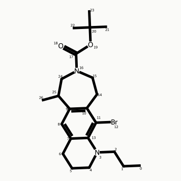 CCCN1CCCc2cc3c(c(Br)c21)CCN(C(=O)OC(C)(C)C)CC3C